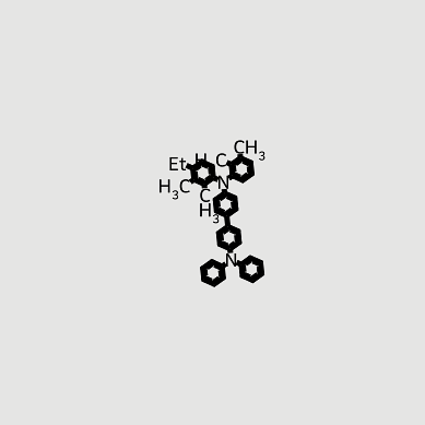 CCc1ccc(N(c2ccc(-c3ccc(N(c4ccccc4)c4ccccc4)cc3)cc2)c2cccc(C)c2C)c(C)c1C